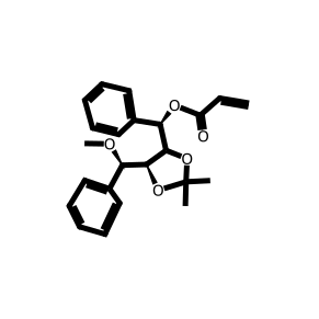 C=CC(=O)O[C@H](c1ccccc1)C1OC(C)(C)O[C@H]1[C@H](OC)c1ccccc1